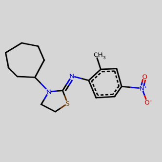 Cc1cc([N+](=O)[O-])ccc1N=C1SCCN1C1CCCCCC1